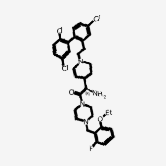 CCOc1cccc(F)c1CN1CCN(C(=O)[C@H](N)C2CCN(CCc3cc(Cl)ccc3-c3cc(Cl)ccc3Cl)CC2)CC1